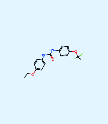 CCOc1ccc(NC(=O)Nc2ccc(OC(C)(F)F)cc2)cc1